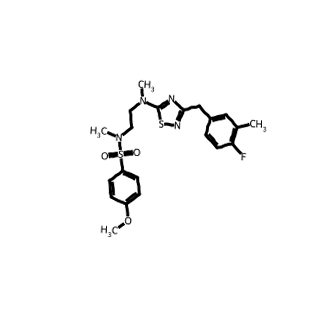 COc1ccc(S(=O)(=O)N(C)CCN(C)c2nc(Cc3ccc(F)c(C)c3)ns2)cc1